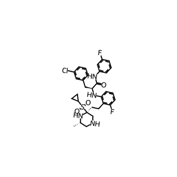 C[C@H]1CNC[C@](CCc2c(F)cccc2N[C@@H](Cc2cccc(Cl)c2)C(=O)Nc2cccc(F)c2)(S(=O)(=O)C2CC2)N1